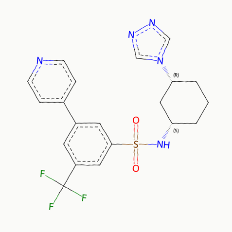 O=S(=O)(N[C@H]1CCC[C@@H](n2cnnc2)C1)c1cc(-c2ccncc2)cc(C(F)(F)F)c1